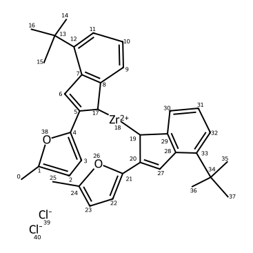 Cc1ccc(C2=Cc3c(cccc3C(C)(C)C)[CH]2[Zr+2][CH]2C(c3ccc(C)o3)=Cc3c2cccc3C(C)(C)C)o1.[Cl-].[Cl-]